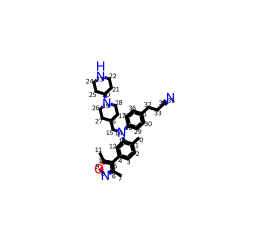 Cc1ccc(-c2c(C)noc2C)cc1N(CC1CCN(C2CCNCC2)CC1)c1ccc(CCC#N)cc1